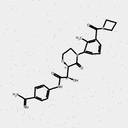 Cc1c(C(=O)N2CCC2)cccc1N1CCO[C@H]([C@@H](O)C(=O)Nc2ccc(C(=N)N)cc2)C1=O